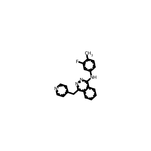 Cc1ccc(Nc2nnc(Cc3ccncc3)c3ccccc23)cc1F